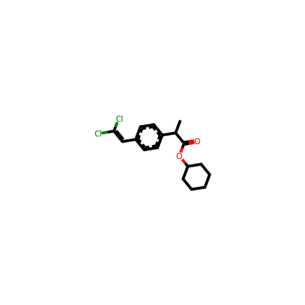 CC(C(=O)OC1CCCCC1)c1ccc(C=C(Cl)Cl)cc1